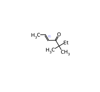 C/C=C/C(=O)C(C)(C)CC